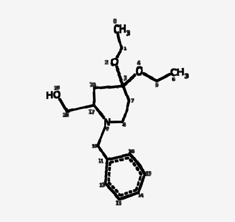 CCOC1(OCC)CCN(Cc2ccccc2)C(CO)C1